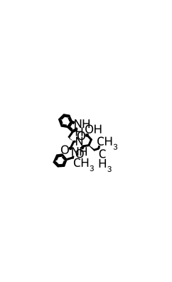 CC(C)C[C@H](CC(=O)O)C(=O)N[C@@H](Cc1c[nH]c2ccccc12)C(=O)N[C@@H](C)c1ccccc1